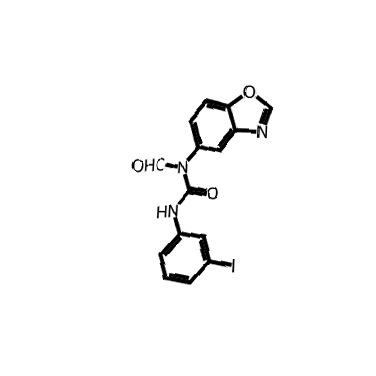 O=CN(C(=O)Nc1cccc(I)c1)c1ccc2ocnc2c1